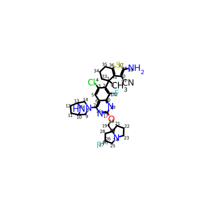 CC1(c2c(Cl)cc3c(N4CC5CCC(C4)N5)nc(OC[C@@]45CCCN4C[C@H](F)C5)nc3c2F)CCCc2sc(N)c(C#N)c21